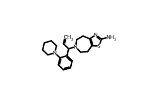 C=CC(c1ccccc1N1CCCCC1)N1CCc2nc(N)sc2CC1